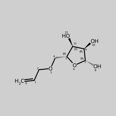 C=CCOC[C@H]1O[C@@H](O)[C@H](O)[C@@H]1O